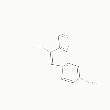 CSc1ccc(/C=C(/C(=O)O)c2ccsc2)cc1